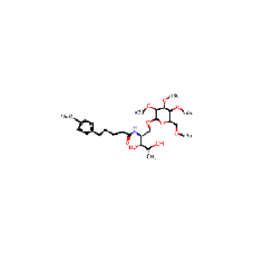 CCCCOCC1OC(OC[C@H](NC(=O)CCCCc2ccc(OC)cc2)[C@H](O)[C@@H](C)O)C(OCCCC)C(OCCCC)C1OCCCC